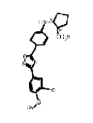 CC(C)Oc1ccc(-c2noc(C3C=CC(N[C@@H]4CCC[C@H]4C(=O)O)=CC3)n2)cc1Cl